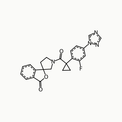 O=C1OC2(CCN(C(=O)C3(c4ccc(-n5cncn5)cc4F)CC3)C2)c2ccccc21